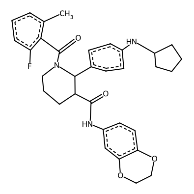 Cc1cccc(F)c1C(=O)N1CCCC(C(=O)Nc2ccc3c(c2)OCCO3)C1c1ccc(NC2CCCC2)cc1